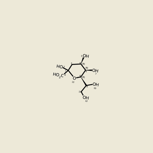 O=C(O)C1(O)C[C@@H](O)[C@@H](O)[C@@H](C(O)CO)O1